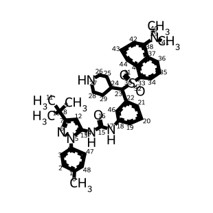 Cc1ccc(-n2nc(C(C)(C)C)cc2NC(=O)Nc2cccc(C(C3CCNCC3)S(=O)(=O)c3cccc4c(N(C)C)cccc34)c2)cc1